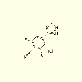 Cl.N#Cc1c(F)cc(-c2ccn[nH]2)cc1Cl